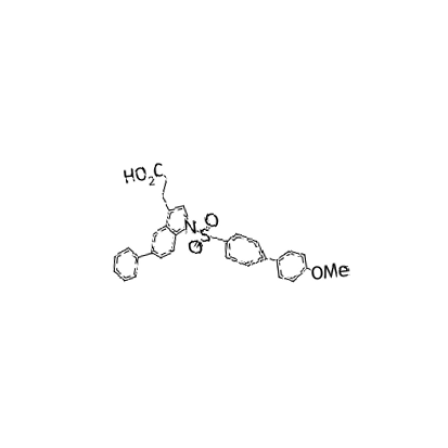 COc1ccc(-c2ccc(S(=O)(=O)n3cc(CCC(=O)O)c4cc(-c5ccccc5)ccc43)cc2)cc1